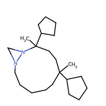 CC1(C2CCCC2)CCCCCN2CN2C(C)(C2CCCC2)CC1